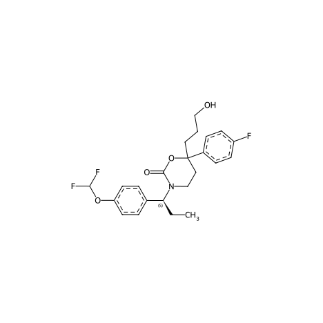 CC[C@@H](c1ccc(OC(F)F)cc1)N1CCC(CCCO)(c2ccc(F)cc2)OC1=O